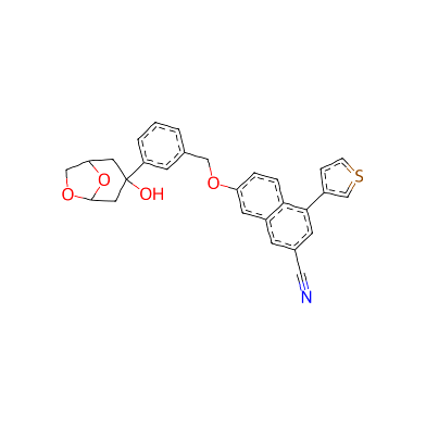 N#Cc1cc(-c2ccsc2)c2ccc(OCc3cccc(C4(O)CC5COC(C4)O5)c3)cc2c1